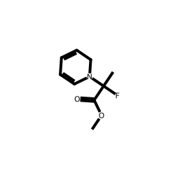 COC(=O)C(C)(F)N1C=CC=CC1